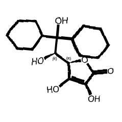 O=C1O[C@H]([C@@H](O)C(O)(C2CCCCC2)C2CCCCC2)C(O)=C1O